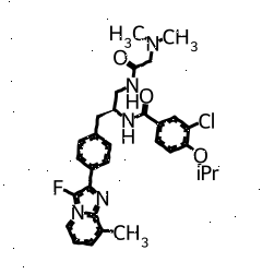 Cc1cccn2c(F)c(-c3ccc(C[C@@H](CNC(=O)CN(C)C)NC(=O)c4ccc(OC(C)C)c(Cl)c4)cc3)nc12